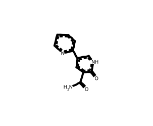 NC(=O)c1cc(-c2ccccn2)c[nH]c1=O